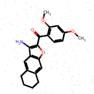 COc1ccc(C(=O)c2oc3cc4c(cc3c2N)CCCC4)c(OC)c1